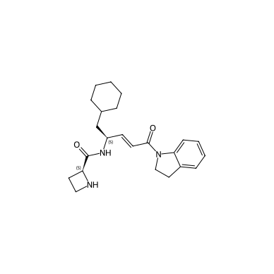 O=C(N[C@H](C=CC(=O)N1CCc2ccccc21)CC1CCCCC1)[C@@H]1CCN1